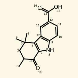 CC1CC(C)(C)c2c([nH]c3ccc(C(=O)O)cc23)C1=O